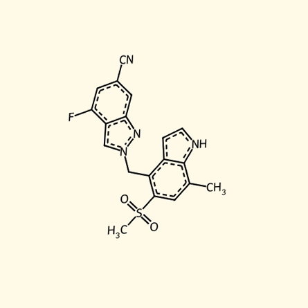 Cc1cc(S(C)(=O)=O)c(Cn2cc3c(F)cc(C#N)cc3n2)c2cc[nH]c12